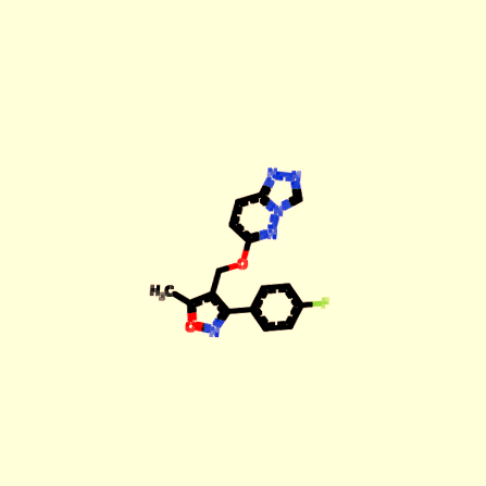 Cc1onc(-c2ccc(F)cc2)c1COc1ccc2nncn2n1